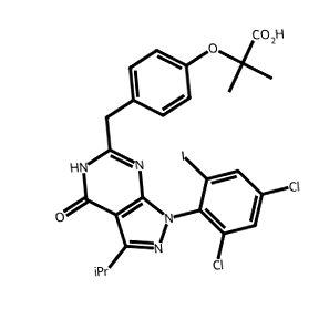 CC(C)c1nn(-c2c(Cl)cc(Cl)cc2I)c2nc(Cc3ccc(OC(C)(C)C(=O)O)cc3)[nH]c(=O)c12